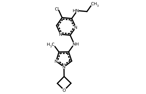 CCNc1nc(Nc2cn(C3COC3)nc2C)ncc1Cl